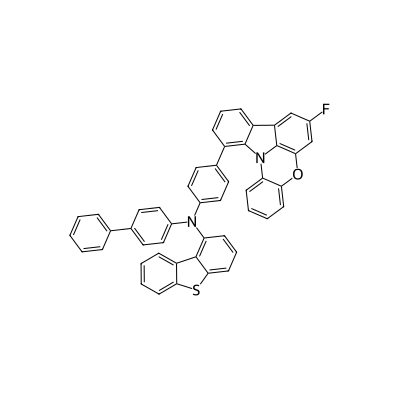 Fc1cc2c3c(c1)c1cccc(-c4ccc(N(c5ccc(-c6ccccc6)cc5)c5cccc6sc7ccccc7c56)cc4)c1n3-c1ccccc1O2